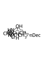 CCCCCCCCCCCCCCCCCCC(O)(CCNc1nc(Cl)nc(Cl)n1)C1CC(C)(C)NC(C)(C)C1